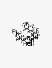 CCN1CCN(Cc2ccc(Nc3ncc(F)c(-c4ccc5ncccc5c4)n3)nc2)CC1.Cl